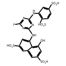 O=S(=O)(O)c1ccc(S(=O)(=O)O)c(Nc2nc(F)nc(Nc3cc(S(=O)(=O)O)cc4cc(S(=O)(=O)O)cc(O)c34)n2)c1